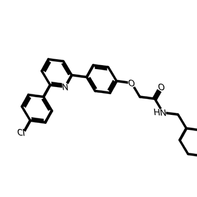 O=C(COc1ccc(-c2cccc(-c3ccc(Cl)cc3)n2)cc1)NCC1CCOCC1